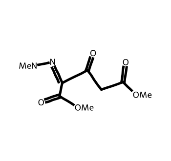 CN/N=C(/C(=O)CC(=O)OC)C(=O)OC